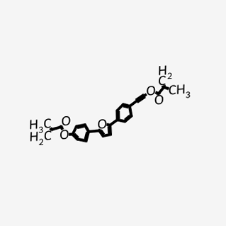 C=C(C)C(=O)OC#Cc1ccc(-c2ccc(-c3ccc(OC(=O)C(=C)C)cc3)o2)cc1